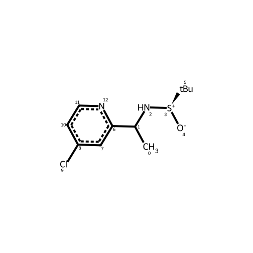 CC(N[S@+]([O-])C(C)(C)C)c1cc(Cl)ccn1